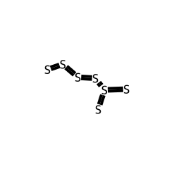 S=S=S=S=S(=S)=S